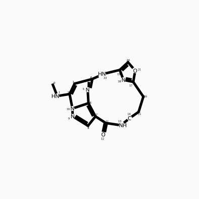 CNc1cc2nc3c(cnn13)C(=O)NCCCc1nc(co1)N2